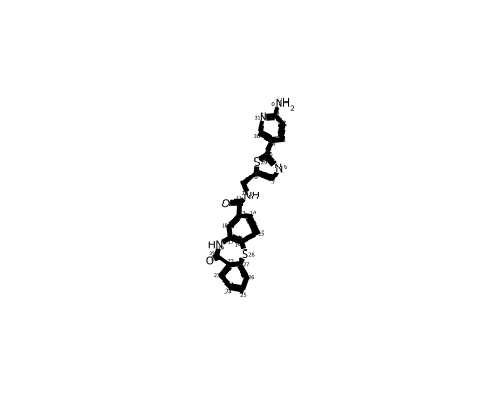 Nc1ccc(-c2ncc(CNC(=O)c3ccc4c(c3)NC(=O)c3ccccc3S4)s2)cn1